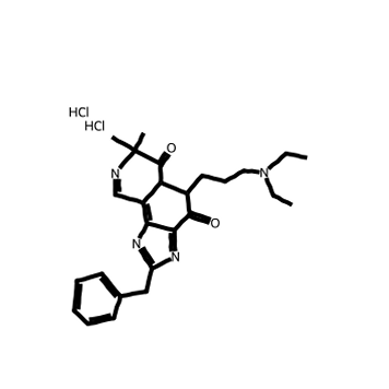 CCN(CC)CCCC1C(=O)C2=NC(Cc3ccccc3)=NC2=C2C=NC(C)(C)C(=O)C21.Cl.Cl